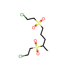 [CH2]C(CCCS(=O)(=O)CCCl)S(=O)(=O)CCCl